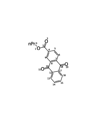 CCCOC(=O)c1ccc2c(c1)C(=O)c1ccccc1C2=O